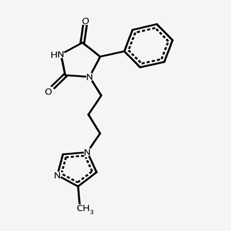 Cc1cn(CCCN2C(=O)NC(=O)C2c2ccccc2)cn1